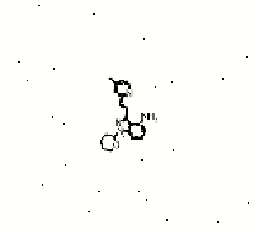 Cc1ccnc(C=Cc2nn(C3CCCCO3)c3cccc(N)c23)c1